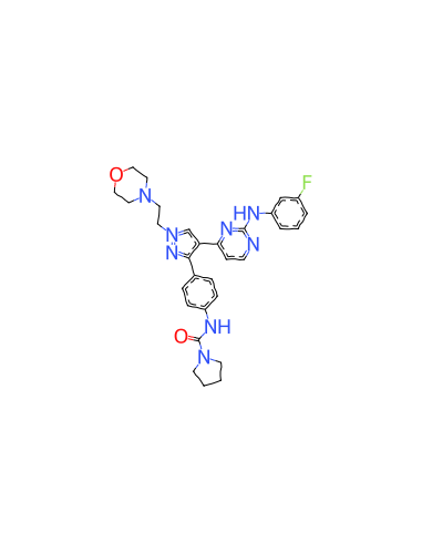 O=C(Nc1ccc(-c2nn(CCN3CCOCC3)cc2-c2ccnc(Nc3cccc(F)c3)n2)cc1)N1CCCC1